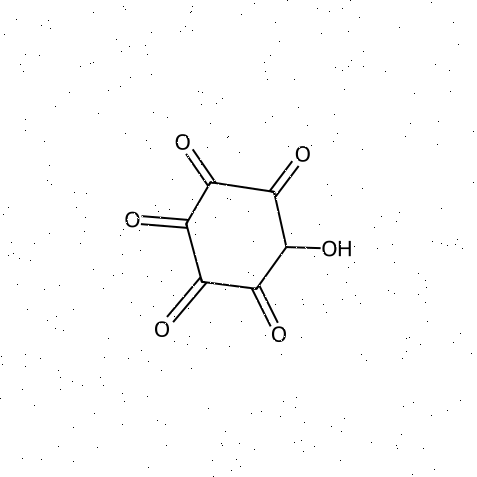 O=C1C(=O)C(=O)C(O)C(=O)C1=O